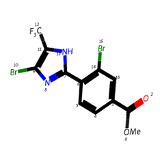 COC(=O)c1ccc(-c2nc(Br)c(C(F)(F)F)[nH]2)c(Br)c1